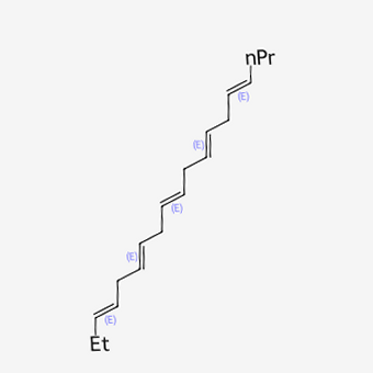 [CH2]CC/C=C/C/C=C/C/C=C/C/C=C/C/C=C/CC